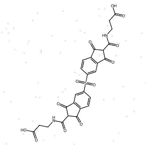 O=C(O)CCNC(=O)C1C(=O)c2ccc(S(=O)(=O)c3ccc4c(c3)C(=O)C(C(=O)NCCC(=O)O)C4=O)cc2C1=O